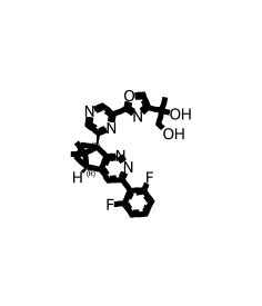 CC(O)(CO)c1coc(-c2cncc([C@@]34CC[C@@H](c5cc(-c6c(F)cccc6F)nnc53)C4(C)C)n2)n1